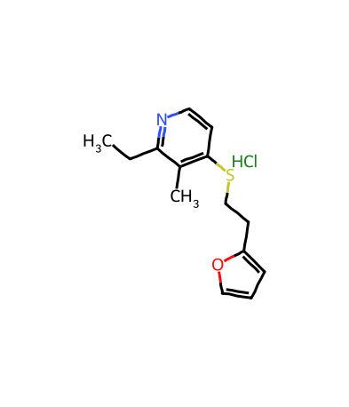 CCc1nccc(SCCc2ccco2)c1C.Cl